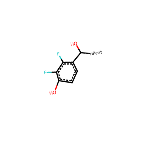 CCCCCC(O)c1ccc(O)c(F)c1F